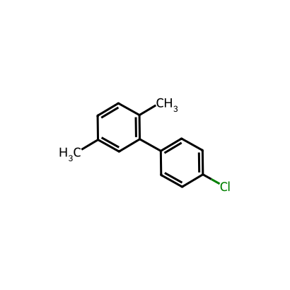 Cc1ccc(C)c(-c2ccc(Cl)cc2)c1